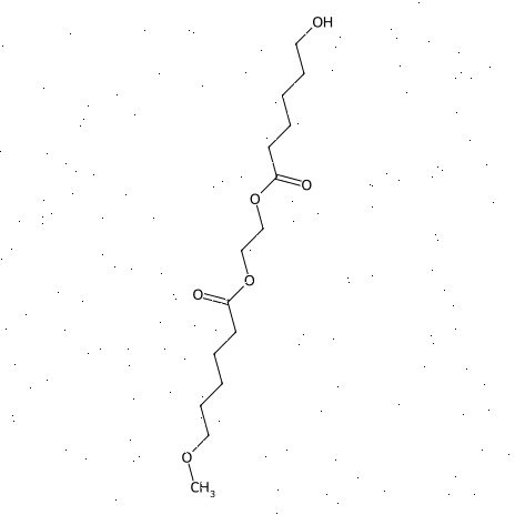 COCCCCCC(=O)OCCOC(=O)CCCCCO